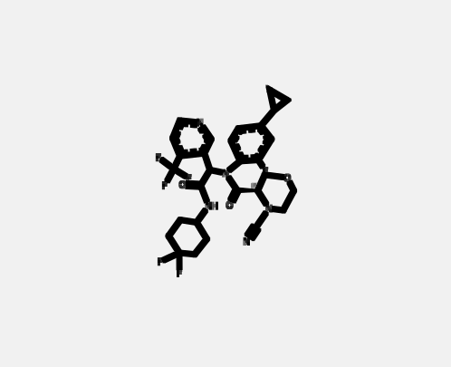 N#CN1CCOC[C@@H]1C(=O)N(c1ccc(C2CC2)cc1F)C(C(=O)NC1CCC(F)(F)CC1)c1cnccc1C(F)(F)F